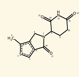 Cc1scc2c1CN(C1CCC(=O)NC1=O)C2=O